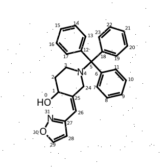 OC1CCN(C(c2ccccc2)(c2ccccc2)c2ccccc2)C/C1=C/c1ccon1